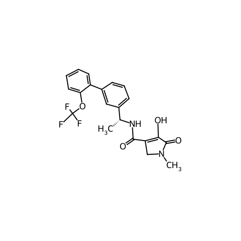 C[C@@H](NC(=O)C1=C(O)C(=O)N(C)C1)c1cccc(-c2ccccc2OC(F)(F)F)c1